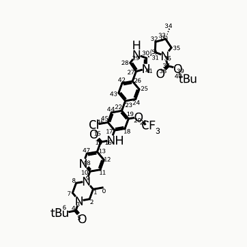 CC1CN(C(=O)C(C)(C)C)CCN1c1ccc(C(=O)Nc2cc(OC(F)(F)F)c(-c3ccc(-c4c[nH]c([C@@H]5C[C@H](C)CN5C(=O)OC(C)(C)C)n4)cc3)cc2Cl)cn1